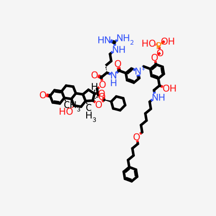 C[C@]12C=CC(=O)C=C1CCC1C2[C@@H](O)C[C@@]2(C)C1C[C@H]1O[C@@H](C3CCCCC3)O[C@]12C(=O)COC(=O)[C@H](CCCNC(=N)N)NC(=O)c1ccc[n+](Cc2cc(C(O)CNCCCCCCOCCCCc3ccccc3)ccc2OOP(O)O)c1